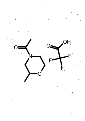 CC(=O)N1CCOC(C)C1.O=C(O)C(F)(F)F